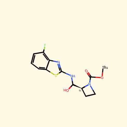 CC(C)(C)OC(=O)N1CC[C@H]1C(O)Nc1nc2c(F)cccc2s1